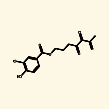 C=C(C)C(=O)C(=O)CCCOC(=O)c1ccc(O)c(Cl)c1